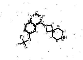 FC(F)(F)Oc1ccc2ncnc(N3CC4(CCNCC4)C3)c2c1